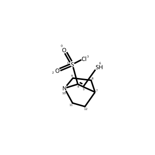 O=S(=O)(Cl)C1=C(S)C2CCN1CC2